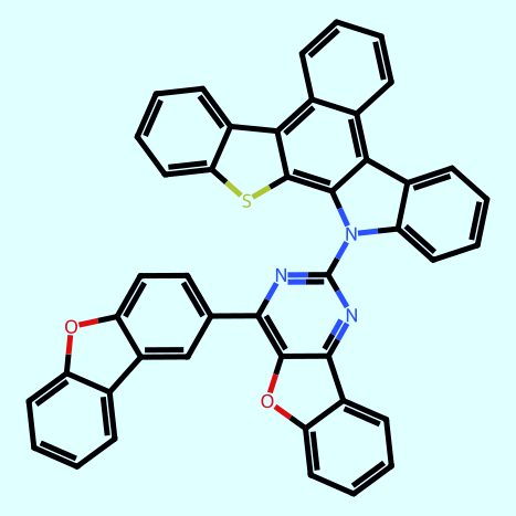 c1ccc2c(c1)oc1ccc(-c3nc(-n4c5ccccc5c5c6ccccc6c6c7ccccc7sc6c54)nc4c3oc3ccccc34)cc12